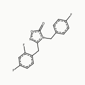 O=c1onc(Cc2ccc(F)cc2F)n1Cc1ccc(F)cc1